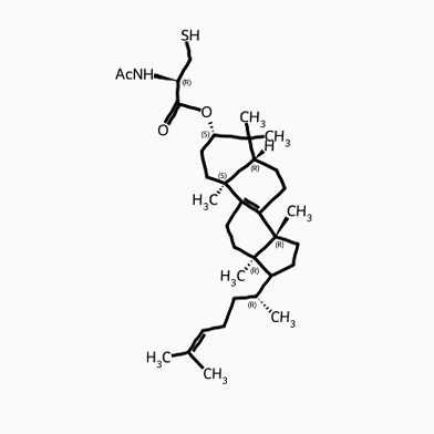 CC(=O)N[C@@H](CS)C(=O)O[C@H]1CC[C@]2(C)C3=C(CC[C@H]2C1(C)C)[C@]1(C)CCC([C@H](C)CCC=C(C)C)[C@@]1(C)CC3